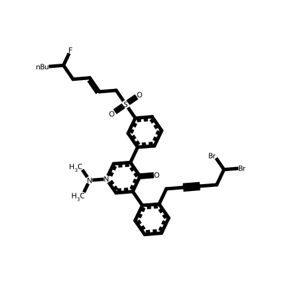 CCCCC(F)CC=CCS(=O)(=O)c1cccc(-c2cn(N(C)C)cc(-c3ccccc3CC#CCC(Br)Br)c2=O)c1